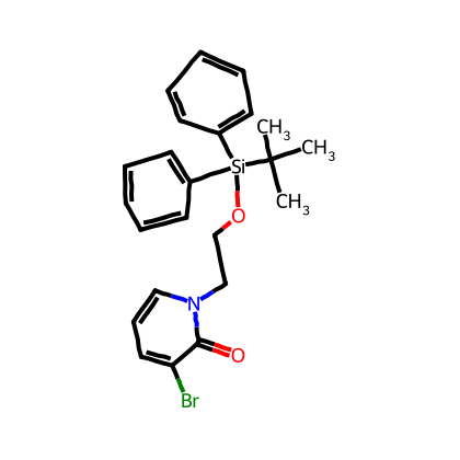 CC(C)(C)[Si](OCCn1cccc(Br)c1=O)(c1ccccc1)c1ccccc1